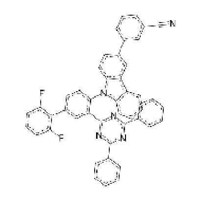 N#Cc1cccc(-c2ccc3c(c2)c2ccccc2n3-c2ccc(-c3c(F)cccc3F)cc2-c2nc(-c3ccccc3)nc(-c3ccccc3)n2)c1